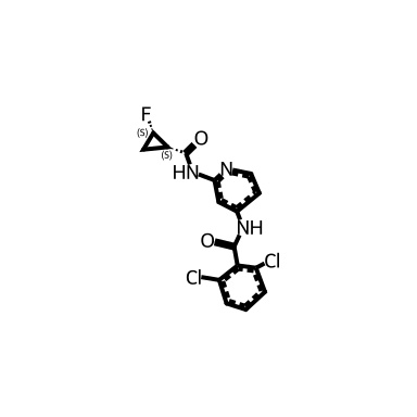 O=C(Nc1ccnc(NC(=O)[C@@H]2C[C@@H]2F)c1)c1c(Cl)cccc1Cl